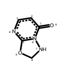 O=c1[c]cnc2n1NCO2